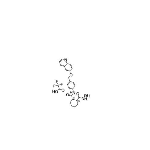 O=C(NO)[C@H]1CCCC[C@@H]1C(=O)Nc1ccc(COc2ccc3ncccc3c2)cc1.O=C(O)C(F)(F)F